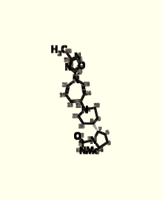 CNC(=O)N1CCC[C@H]1C1CCN(C2=CC=CN(c3nc(C)no3)C=C2)CC1